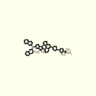 CC(C)(C)c1ccc(-c2ccc(-c3cc4cccc5c6c(c7cccc3c7c45)C(C)(C)c3cc(N(c4ccc5ccccc5c4)c4ccc5ccccc5c4)ccc3-6)cc2)cc1